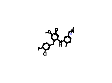 C/N=C/c1ccc(C)c(Nc2cc(=O)c(OC)cn2Cc2ccc(F)c(Cl)c2)c1